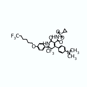 CN(C)c1ccc(C2=C(C(=O)NS(=O)(=O)C3CC3)C(=O)N[C@@](c3ccc(OCCCCCC(F)(F)F)cc3)(C(F)(F)F)C2)cc1